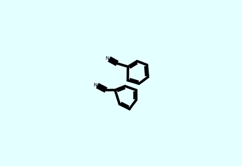 N#Cc1ccccc1.N#Cc1ccccc1